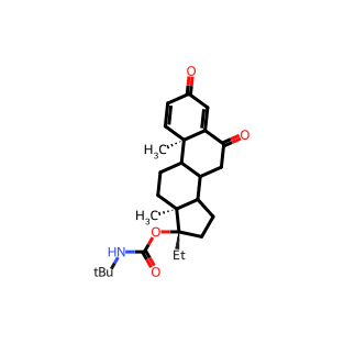 CC[C@]1(OC(=O)NC(C)(C)C)CCC2C3CC(=O)C4=CC(=O)C=C[C@]4(C)C3CC[C@@]21C